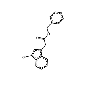 O=C(Cn1cc(Cl)c2ccccc21)OCc1ccccc1